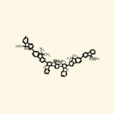 CCCCCCCCC1(CCCCCCCC)c2ccccc2-c2ccc(-c3ccc4c(c3)C(C)(C)c3cc(-c5cc6c(c7c5oc5ccccc57)-c5ccc7c(c5[Si]6(C)C)[Si](C)(C)c5cc(-c6ccc8c(c6)C(C)(C)c6cc(-c9ccc%10c(c9)C(CCCCCCCC)(CCCCCCCC)c9ccccc9-%10)ccc6-8)c6oc8ccccc8c6c5-7)ccc3-4)cc21